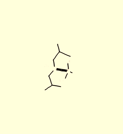 CC(C)CS(CC(C)C)=P(O)(O)O.[Zn]